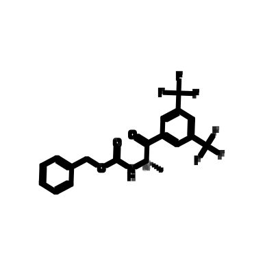 C[C@H](NC(=O)OCc1ccccc1)C(=O)c1cc(C(F)(F)F)cc(C(F)(F)F)c1